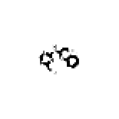 C=CC(Nc1ncnc(N)n1)Oc1ccccc1